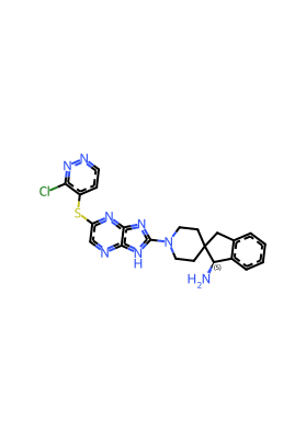 N[C@@H]1c2ccccc2CC12CCN(c1nc3nc(Sc4ccnnc4Cl)cnc3[nH]1)CC2